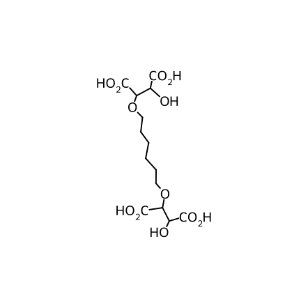 O=C(O)C(O)C(OCCCCCCOC(C(=O)O)C(O)C(=O)O)C(=O)O